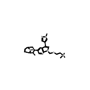 CC1C(c2cnc3c(c2)c(-c2cnn(C)c2)cn3COCC[Si](C)(C)C)CC2CCC1N2C